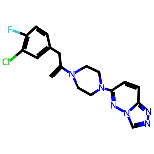 C=C(Cc1ccc(F)c(Cl)c1)N1CCN(c2ccc3nncn3n2)CC1